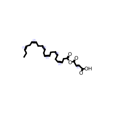 CC/C=C\C/C=C\C/C=C\C/C=C\C/C=C\C/C=C\CC(=O)OC(=O)/C=C/C(=O)O